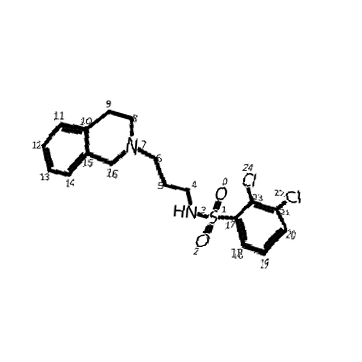 O=S(=O)(NCCCN1CCc2ccccc2C1)c1cccc(Cl)c1Cl